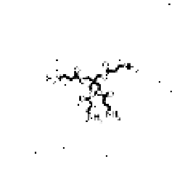 NCCC(=O)OCC(COC(=O)CCN)(COC(=O)CCN)COC(=O)CCN